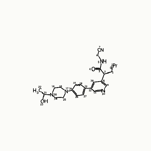 CC(C)CC(C(=O)NCC#N)c1cncc(-c2ccc(N3CCN(C(C)O)CC3)cc2)c1